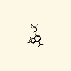 CO[C@H](C)COc1ccc(C(C)C)c2cn(C)nc12